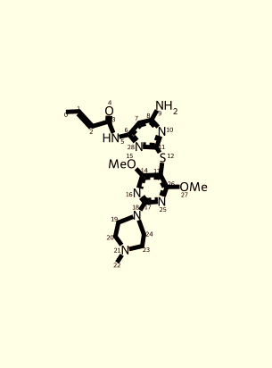 CC=CC(=O)Nc1cc(N)nc(Sc2c(OC)nc(N3CCN(C)CC3)nc2OC)n1